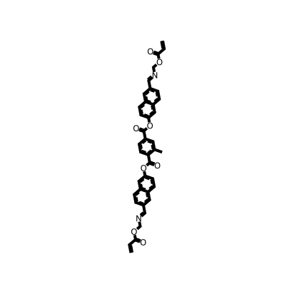 C=CC(=O)OCN=Cc1ccc2cc(OC(=O)c3ccc(C(=O)Oc4ccc5cc(C=NCOC(=O)C=C)ccc5c4)c(C)c3)ccc2c1